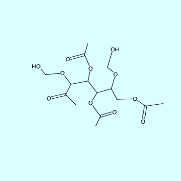 CC(=O)OCC(OCO)C(OC(C)=O)C(OC(C)=O)C(OCO)C(C)=O